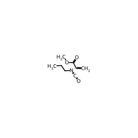 C=CC(=O)OC.CCCN=C=O